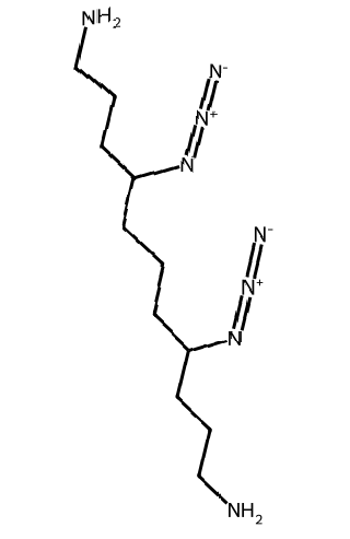 [N-]=[N+]=NC(CCCN)CCCC(CCCN)N=[N+]=[N-]